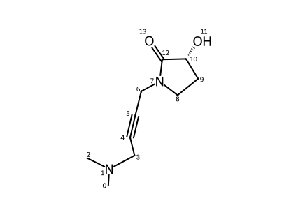 CN(C)CC#CCN1CC[C@@H](O)C1=O